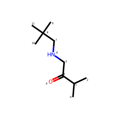 CC(C)C(=O)CNCC(C)(C)C